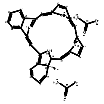 C1=CC2=C3C=C4N=C(C=c5ccc([nH]5)=CC5=NC(=CC(N3)[C@H]2C=C1)C=C5)c1ccccc14.CCC(N)=O.CCC(N)=O